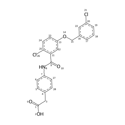 O=C(O)Cc1ccc(NC(=O)c2cc(OCc3cccc(Cl)c3)ccc2Cl)cc1